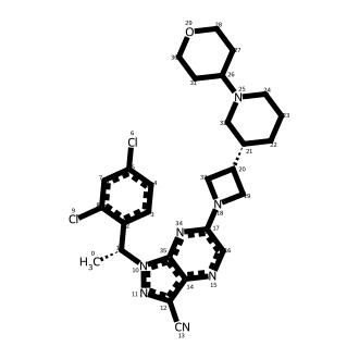 C[C@H](c1ccc(Cl)cc1Cl)n1nc(C#N)c2ncc(N3CC([C@H]4CCCN(C5CCOCC5)C4)C3)nc21